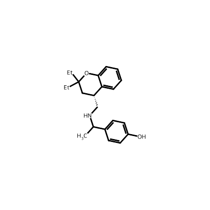 CCC1(CC)C[C@@H](CNC(C)c2ccc(O)cc2)c2ccccc2O1